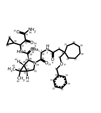 CC(C)(C)[C@H](NC(=O)CC1(COCc2ccccc2)CCCCCC1)C(=O)N1C[C@H]2[C@@H]([C@H]1C(=O)NC(C(=O)C(N)=O)C1CC1)C2(C)C